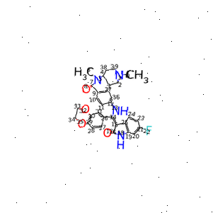 CN1CCC(N(C)C(=O)c2ccc(NC(=C3C(=O)Nc4cc(F)ccc43)c3ccc4c(c3)OCCO4)cc2)CC1